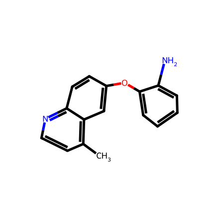 Cc1ccnc2ccc(Oc3ccccc3N)cc12